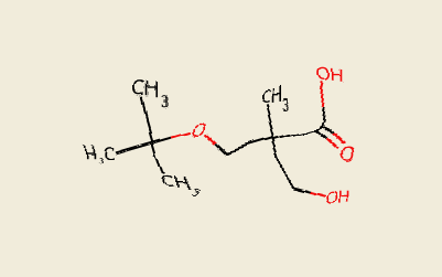 CC(C)(C)OCC(C)(CO)C(=O)O